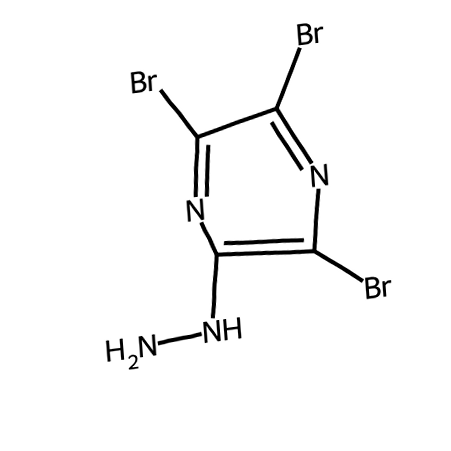 NNc1nc(Br)c(Br)nc1Br